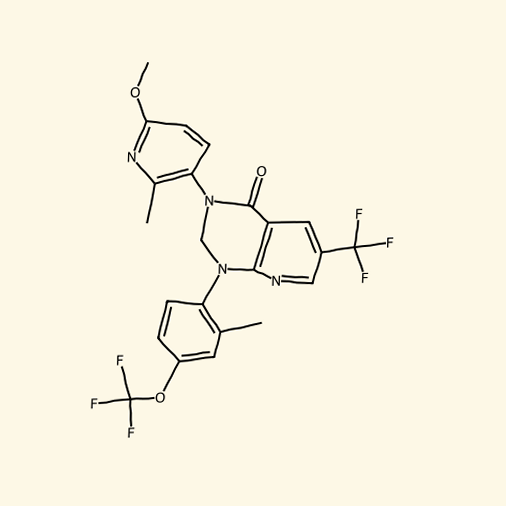 COc1ccc(N2CN(c3ccc(OC(F)(F)F)cc3C)c3ncc(C(F)(F)F)cc3C2=O)c(C)n1